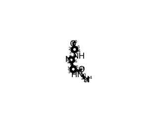 COc1ccc(Nc2cncc(-c3cccc(C(=O)NCCN(C)C)c3)c2)cc1